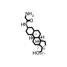 C[C@H](O)[C@H]1CC[C@H]2[C@@H]3CCC4CC(NC(=O)CN)CC[C@]4(C)[C@H]3CC[C@]12C